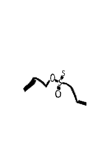 C=CCOS(=O)(=S)CC=C